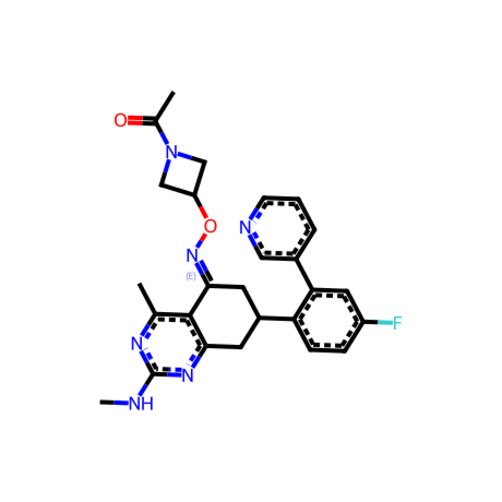 CNc1nc(C)c2c(n1)CC(c1ccc(F)cc1-c1cccnc1)C/C2=N\OC1CN(C(C)=O)C1